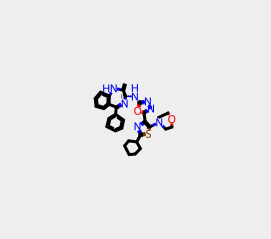 C=C1Nc2ccccc2C(c2ccccc2)=N[C@@H]1Nc1nnc(-c2nc(C3CCCCC3)sc2N2CCOCC2)o1